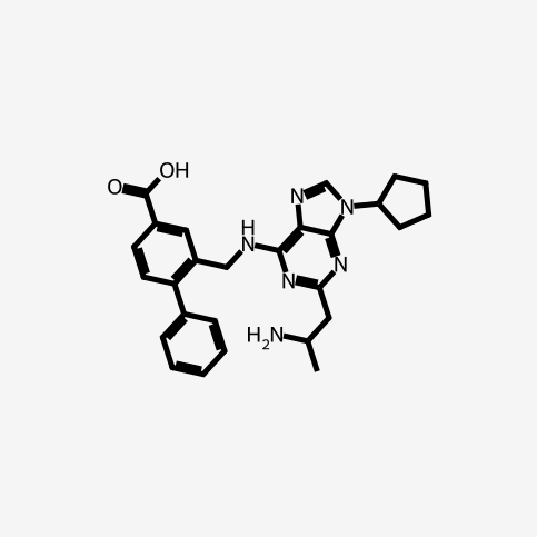 CC(N)Cc1nc(NCc2cc(C(=O)O)ccc2-c2ccccc2)c2ncn(C3CCCC3)c2n1